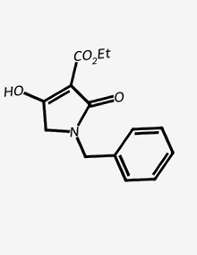 CCOC(=O)C1=C(O)CN(Cc2ccccc2)C1=O